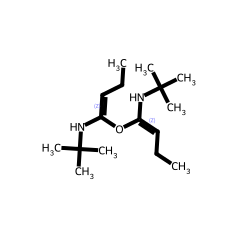 CC/C=C(/NC(C)(C)C)O/C(=C\CC)NC(C)(C)C